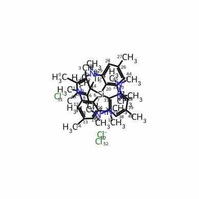 CC1=C(C)[C]([Ti+3])([Si](c2c(N(C)C)cc(C)cc2N(C)C)(c2c(N(C)C)cc(C)cc2N(C)C)c2c(N(C)C)cc(C)cc2N(C)C)C(C)=C1C.[Cl-].[Cl-].[Cl-]